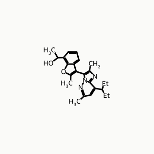 CCC(CC)c1cc(C)nn2c(-c3c(C)oc4c(C(C)O)cccc34)c(C)nc12